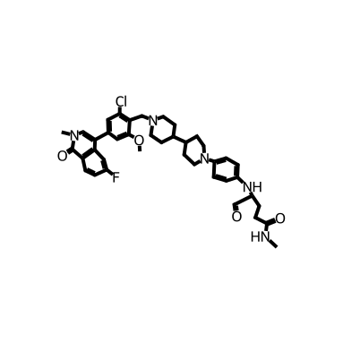 CNC(=O)CCC(C=O)Nc1ccc(N2CCC(C3CCN(Cc4c(Cl)cc(-c5cn(C)c(=O)c6ccc(F)cc56)cc4OC)CC3)CC2)cc1